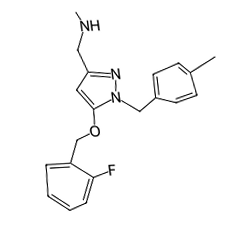 CNCc1cc(OCc2ccccc2F)n(Cc2ccc(C)cc2)n1